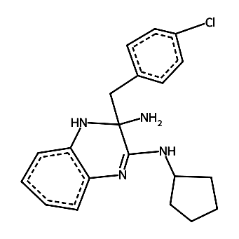 NC1(Cc2ccc(Cl)cc2)Nc2ccccc2N=C1NC1CCCC1